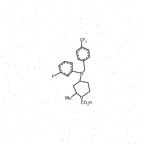 CC(C)(C)C1CC(N(Cc2ccc(C(F)(F)F)cc2)c2cccc(F)c2)CCN1C(=O)O